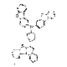 c1ccc2c(c1)cc(-c1ccc(N(c3ccc4c(c3)sc3ccccc34)c3ccc4oc5ccccc5c4c3)cc1)c1sc3ccccc3c12